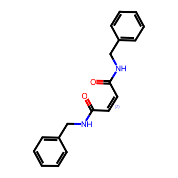 O=C(/C=C\C(=O)NCc1ccccc1)NCc1ccccc1